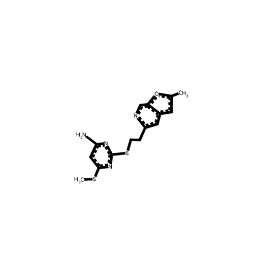 CSc1cc(N)nc(SCCc2cc3cc(C)oc3cn2)n1